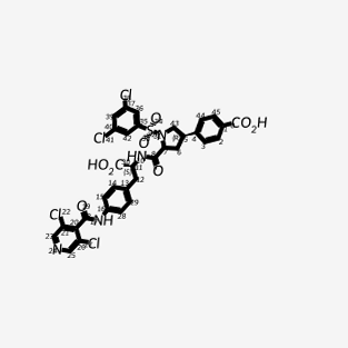 O=C(O)c1ccc([C@H]2CC(C(=O)N[C@@H](Cc3ccc(NC(=O)c4c(Cl)cncc4Cl)cc3)C(=O)O)N(S(=O)(=O)c3cc(Cl)cc(Cl)c3)C2)cc1